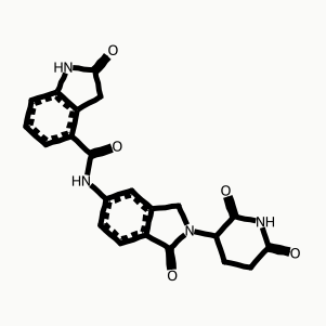 O=C1CCC(N2Cc3cc(NC(=O)c4cccc5c4CC(=O)N5)ccc3C2=O)C(=O)N1